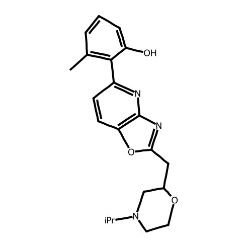 Cc1cccc(O)c1-c1ccc2oc(CC3CN(C(C)C)CCO3)nc2n1